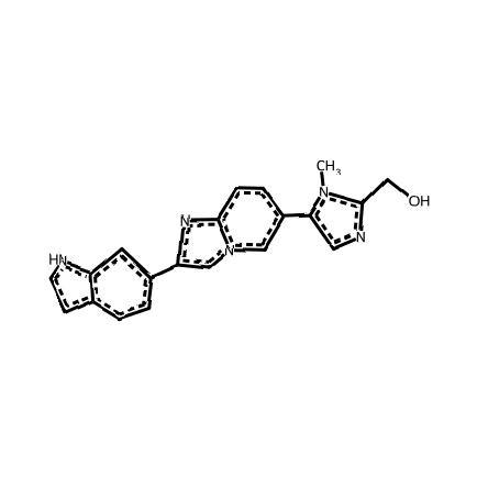 Cn1c(-c2ccc3nc(-c4ccc5cc[nH]c5c4)cn3c2)cnc1CO